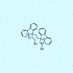 CC(=O)CCC1(CCC2(CCC(C)=O)c3ccccc3C3=CC=CC[C@H]32)c2ccccc2C2=CC=CC[C@H]21